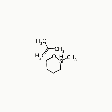 C=C(C)C.C[SiH]1CCCCO1